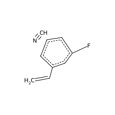 C#N.C=Cc1cccc(F)c1